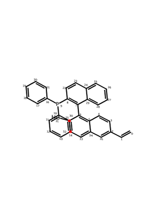 C=Cc1ccc2c(-c3c(P(c4ccccc4)c4ccccc4)ccc4ccccc34)c(O)ccc2c1